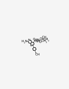 C#Cc1ccc(-c2cc(C(=O)NNC(=O)OC(C)(C)C)c3cnc(N)cc3n2)cc1